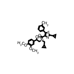 COc1ccc(C(O)CN(CC2CC2)C(=O)c2nc(C3CC3)sc2-c2cccc(C)c2)cc1OC